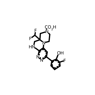 O=C(O)N1CCN2c3cc(-c4cccc(F)c4O)nnc3NCC2(C(F)F)C1